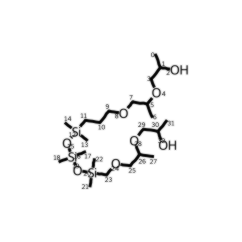 CC(O)COC(C)COCCC[Si](C)(C)O[Si](C)(C)O[Si](C)(C)COCC(C)OCC(C)O